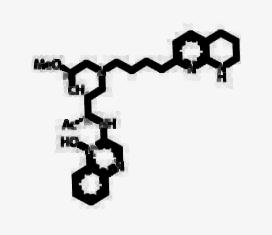 CO[C@H](C)CN(CCCCc1ccc2c(n1)NCCC2)CC[C@H](Nc1cnc2ccccc2[n+]1O)C(C)=O